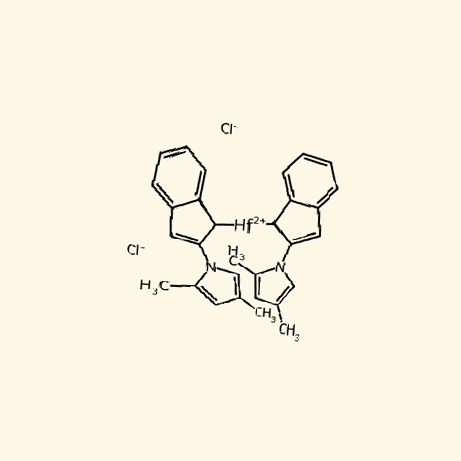 Cc1cc(C)n(C2=Cc3ccccc3[CH]2[Hf+2][CH]2C(n3cc(C)cc3C)=Cc3ccccc32)c1.[Cl-].[Cl-]